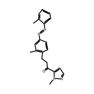 Cc1cc(/N=N/c2ccccc2C)ccc1CCC(=O)c1ccnn1C